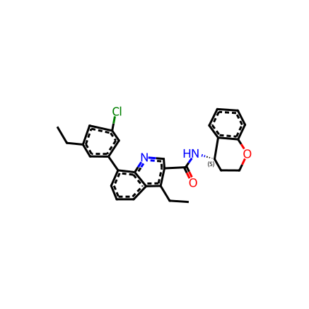 CCc1cc(Cl)cc(-c2cccc3c(CC)c(C(=O)N[C@H]4CCOc5ccccc54)cnc23)c1